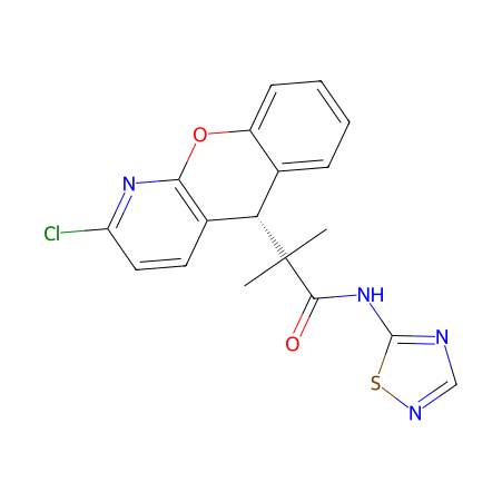 CC(C)(C(=O)Nc1ncns1)[C@H]1c2ccccc2Oc2nc(Cl)ccc21